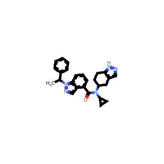 CC(c1ccccc1)n1ncc2c(C(=O)N(C3CC3)C3CCc4[nH]ncc4C3)cccc21